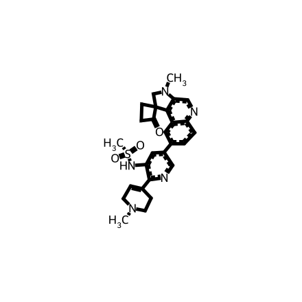 CN1CC=C(c2ncc(-c3ccc4ncc5c(c4c3)C3(CCC3=O)CN5C)cc2NS(C)(=O)=O)CC1